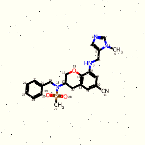 Cn1cncc1CNc1cc(C#N)cc2c1OCC(N(Cc1ccccc1)S(C)(=O)=O)C2